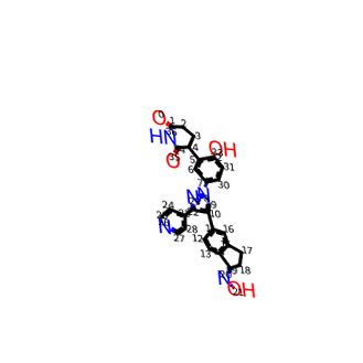 O=C1CCC(c2cc(-n3cc(-c4ccc5c(c4)CC/C5=N\O)c(-c4ccncc4)n3)ccc2O)C(=O)N1